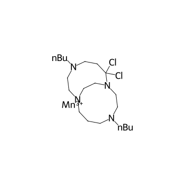 CCCCN1CCCN2CCN(CCCC)CCC(Cl)(Cl)N(CC1)CC2.[Mn+3]